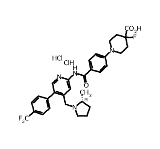 C[C@@H]1CCCN1Cc1cc(NC(=O)c2ccc(N3CCC(F)(C(=O)O)CC3)cc2)ncc1-c1ccc(C(F)(F)F)cc1.Cl.Cl